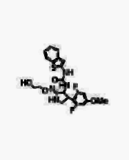 COc1cc(F)c(C2CN/C(=N\OCCO)C2NC(=O)Nc2cc3ccccc3s2)c(F)c1